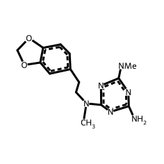 CNc1nc(N)nc(N(C)CCc2ccc3c(c2)OCO3)n1